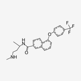 CNCCC(C)NC(=O)c1ccc2c(Oc3ccc(C(F)(F)F)cc3)cccc2c1